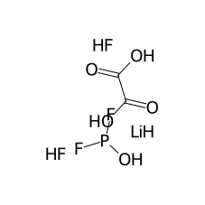 F.F.O=C(O)C(=O)O.OP(F)F.[LiH]